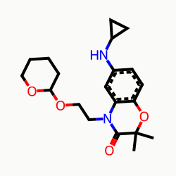 CC1(C)Oc2ccc(NC3CC3)cc2N(CCOC2CCCCO2)C1=O